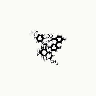 COC(=O)c1ccc(F)cc1-c1cc(NC(=O)Nc2ccc(C)cc2)c(N(CC(C)C)C2CCC(F)(F)CC2)cc1F